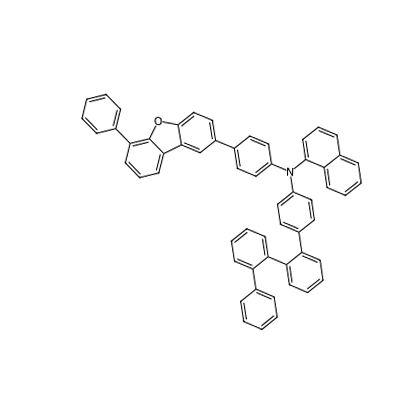 c1ccc(-c2ccccc2-c2ccccc2-c2ccc(N(c3ccc(-c4ccc5oc6c(-c7ccccc7)cccc6c5c4)cc3)c3cccc4ccccc34)cc2)cc1